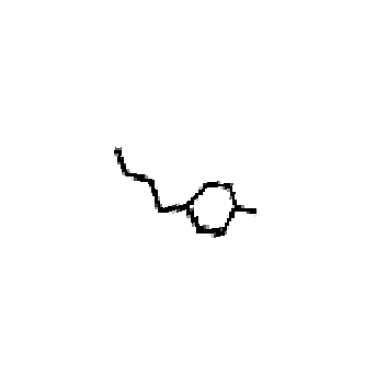 CCC[CH]C1CCC(C)CC1